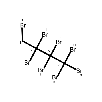 BrCC(Br)(Br)C(Br)(Br)C(Br)(Br)Br